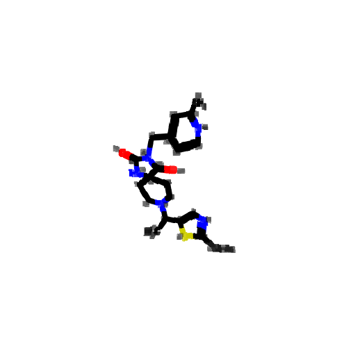 CC(=O)Nc1ncc(C(C)N2CCC3(CC2)NC(=O)N(Cc2ccnc(C)c2)C3=O)s1